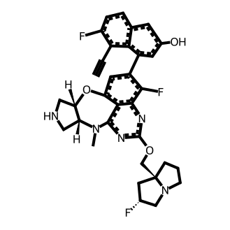 C#Cc1c(F)ccc2cc(O)cc(-c3cc4c5c(nc(OC[C@@]67CCCN6C[C@H](F)C7)nc5c3F)N(C)[C@@H]3CNC[C@@H]3O4)c12